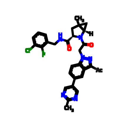 CC(=O)c1nn(CC(=O)N2[C@H](C(=O)NCc3cccc(Cl)c3F)CC3(C)C[C@@H]23)c2ccc(-c3cnc(C)nc3)cc12